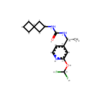 C[C@@H](NC(=O)NC1CC2(CCC2)C1)c1ccnc(OC(F)F)c1